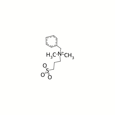 C[N+](C)(CCCS(=O)(=O)[O-])Cc1ccccc1